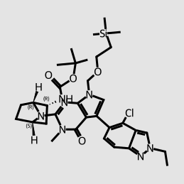 CCn1cc2c(Cl)c(-c3cn(COCC[Si](C)(C)C)c4nc(N5[C@H]6CC[C@@H]5[C@H](NC(=O)OC(C)(C)C)C6)n(C)c(=O)c34)ccc2n1